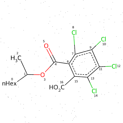 CCCCCCC(C)OC(=O)c1c(Cl)c(Cl)c(Cl)c(Cl)c1C(=O)O